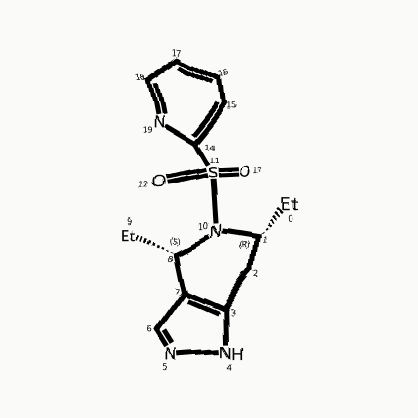 CC[C@@H]1Cc2[nH]ncc2[C@H](CC)N1S(=O)(=O)c1ccccn1